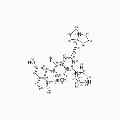 C#Cc1c(F)ccc2cc(O)cc(-c3ncc4c(N5C[C@H]6C[C@@H]5CN6)nc(C#CC56CCCN5CCC6)nc4c3F)c12